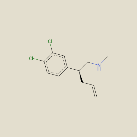 C=CC[C@H](CNC)c1ccc(Cl)c(Cl)c1